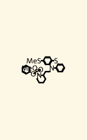 COP(=O)(Oc1ccccc1)N1CCCCC1CCN1c2ccccc2Sc2ccc(SC)cc21